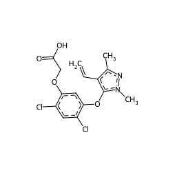 C=Cc1c(C)nn(C)c1Oc1cc(OCC(=O)O)c(Cl)cc1Cl